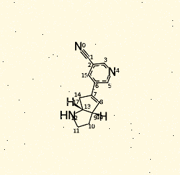 N#Cc1cncc(C2=C[C@@H]3CCN[C@@H]3C2)c1